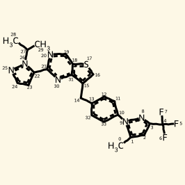 Cc1cc(C(F)(F)F)nn1-c1ccc(Cc2csc3cnc(-c4ccnn4C(C)C)nc23)cc1